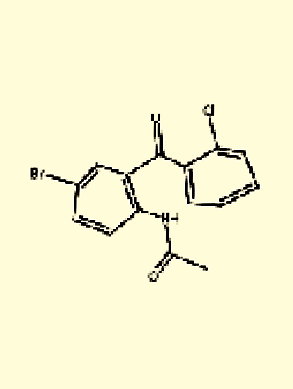 CC(=O)Nc1ccc(Br)cc1C(=O)c1ccccc1Cl